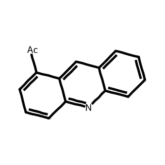 CC(=O)c1cccc2nc3ccccc3cc12